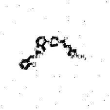 Cn1cc(CCC(=O)N2CCN(c3nccc4nc(NCc5ccccc5Cl)ncc34)CC2)cn1